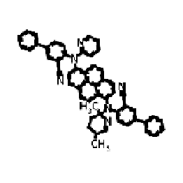 CC1C=NC(C)(N(c2ccc(-c3ccccc3)cc2C#N)c2ccc3ccc4c(N(c5ccccn5)c5ccc(-c6ccccc6)cc5C#N)ccc5ccc2c3c54)CC1